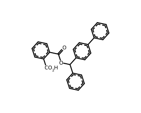 O=C(O)c1ccccc1C(=O)OC(c1ccccc1)c1ccc(-c2ccccc2)cc1